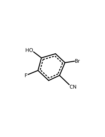 N#Cc1cc(F)c(O)cc1Br